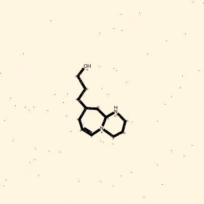 OCCCC1CC=CN2CCCNC2C1